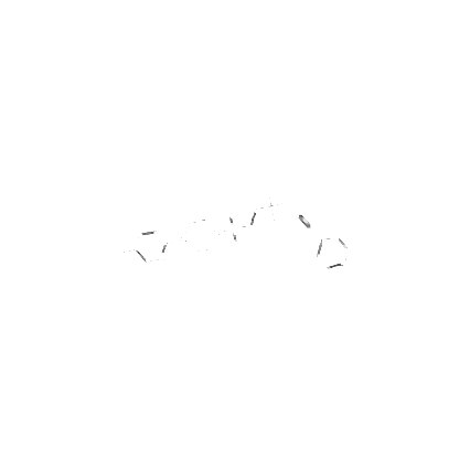 CC(C)(C=CS(=O)(=O)N1CCN(c2ccc(Br)cn2)CC1)CC#Cc1ccccc1